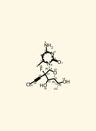 Cc1cc(N)nc(=O)n1[C@@H]1O[C@H]([C@@H](C)O)C(O)[C@]1(F)C#CCl